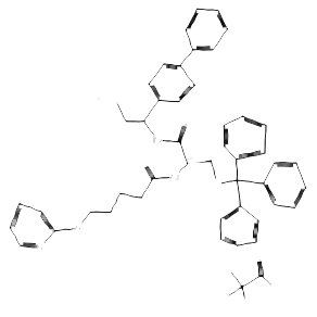 O=C(O)C(F)(F)F.O=C(O)CC(NC(=O)[C@@H](CSC(c1ccccc1)(c1ccccc1)c1ccccc1)NC(=O)CCCCNc1ccccn1)c1ccc(-c2ccccc2)cc1